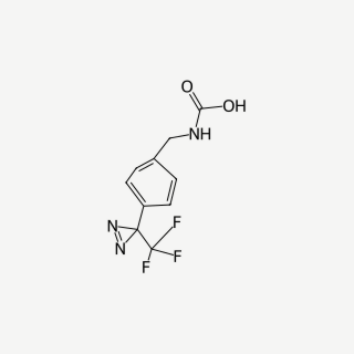 O=C(O)NCc1ccc(C2(C(F)(F)F)N=N2)cc1